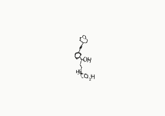 O=C(O)NCCC(O)c1cccc(C#CC2CCOCC2)c1